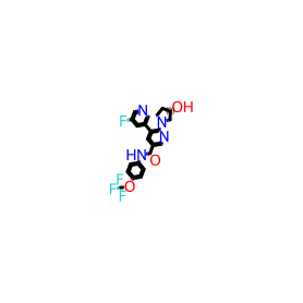 O=C(Nc1ccc(OC(F)(F)F)cc1)c1cnc(N2CC[C@@H](O)C2)c(-c2cncc(F)c2)c1